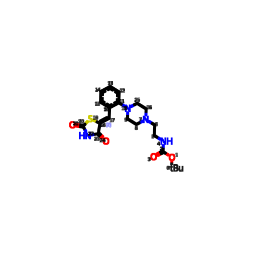 CC(C)(C)OC(=O)NCCN1CCN(c2ccccc2/C=C2\SC(=O)NC2=O)CC1